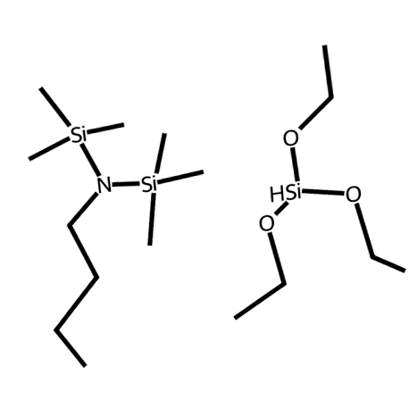 CCCCN([Si](C)(C)C)[Si](C)(C)C.CCO[SiH](OCC)OCC